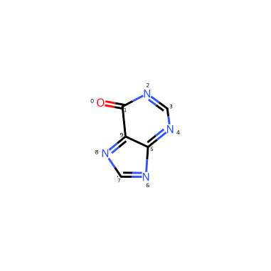 O=C1N=CN=C2N=[C]N=C12